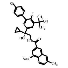 COc1cc(C(=O)NC[C@](O)(c2cc(C(C)(C)O)c(F)c(-c3ccc(Cl)cc3)n2)C2CC2)cc2cc(C)cnc12